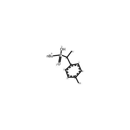 CCCCP(=O)(O)C(C)c1ccc(C)cc1